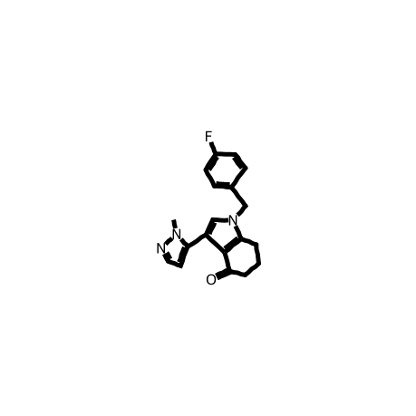 Cn1nccc1-c1cn(Cc2ccc(F)cc2)c2c1C(=O)CCC2